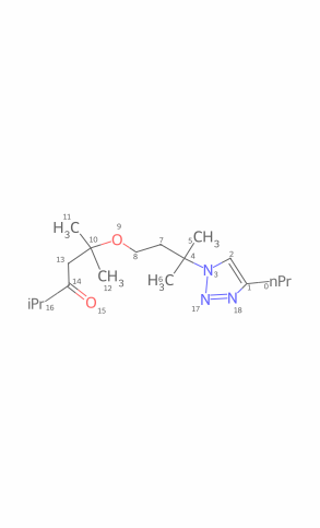 CCCc1cn(C(C)(C)CCOC(C)(C)CC(=O)C(C)C)nn1